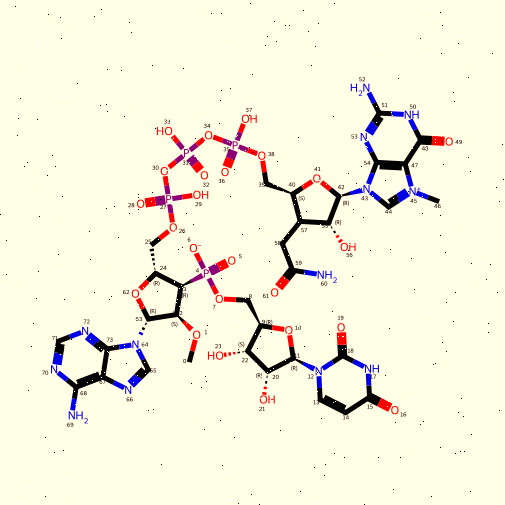 CO[C@@H]1[C@H](P(=O)([O-])OC[C@H]2O[C@@H](n3ccc(=O)[nH]c3=O)[C@H](O)[C@@H]2O)[C@@H](COP(=O)(O)OP(=O)(O)OP(=O)(O)OC[C@H]2O[C@@H](n3c[n+](C)c4c(=O)[nH]c(N)nc43)[C@H](O)C2CC(N)=O)O[C@H]1n1cnc2c(N)ncnc21